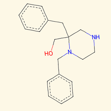 OCC1(Cc2ccccc2)CNCCN1Cc1ccccc1